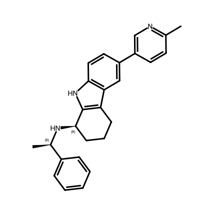 Cc1ccc(-c2ccc3[nH]c4c(c3c2)CCC[C@H]4N[C@H](C)c2ccccc2)cn1